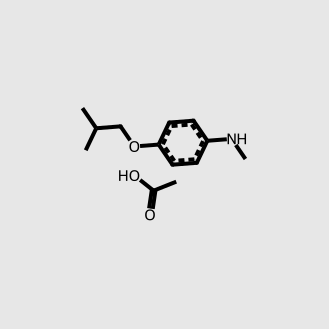 CC(=O)O.CNc1ccc(OCC(C)C)cc1